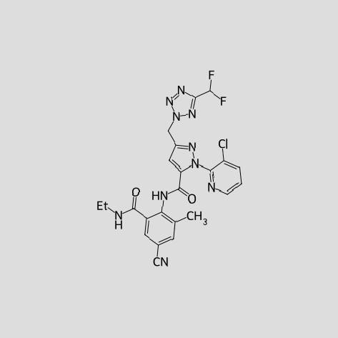 CCNC(=O)c1cc(C#N)cc(C)c1NC(=O)c1cc(Cn2nnc(C(F)F)n2)nn1-c1ncccc1Cl